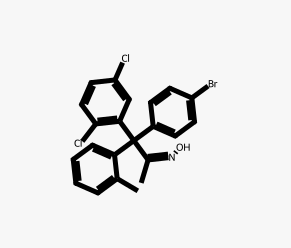 C/C(=N/O)C(c1ccc(Br)cc1)(c1ccccc1C)c1cc(Cl)ccc1Cl